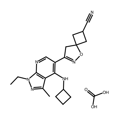 CCn1nc(C)c2c(NC3CCC3)c(C3=NOC4(C3)CC(C#N)C4)cnc21.O=C(O)O